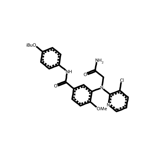 COc1ccc(C(=O)Nc2ccc(OCC(C)C)cc2)cc1N(CC(N)=O)c1ncccc1Cl